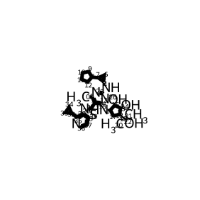 Cc1nc(NC2CC2C2CCCC2)nc(N[C@@H]2C[C@H](C(C)(C)O)[C@@H](O)[C@H]2O)c1-c1nc2c(C3CC3)nccc2s1